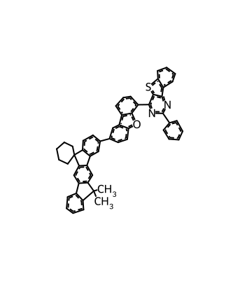 CC1(C)c2ccccc2-c2cc3c(cc21)-c1cc(-c2ccc4oc5c(-c6nc(-c7ccccc7)nc7c6sc6ccccc67)cccc5c4c2)ccc1C31CCCCC1